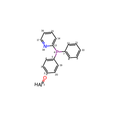 [O]=[AlH].c1ccc(P(c2ccccc2)c2ccccn2)cc1